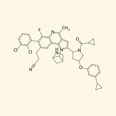 Cc1nc2c(F)c(-c3cccc(Cl)c3Cl)c(CCC#N)cc2c2c1cc(C1CC(Oc3cccc(C4CC4)c3)CN1C(=O)C1CC1)n2C1C2CNC1C2